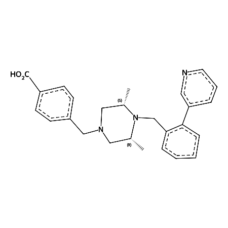 C[C@@H]1CN(Cc2ccc(C(=O)O)cc2)C[C@H](C)N1Cc1ccccc1-c1cccnc1